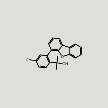 CC(C)(O)c1ccc(Cl)cc1-c1cccc2c1oc1ccccc12